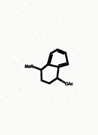 CNC1CCC(OC(C)=O)c2ccccc21